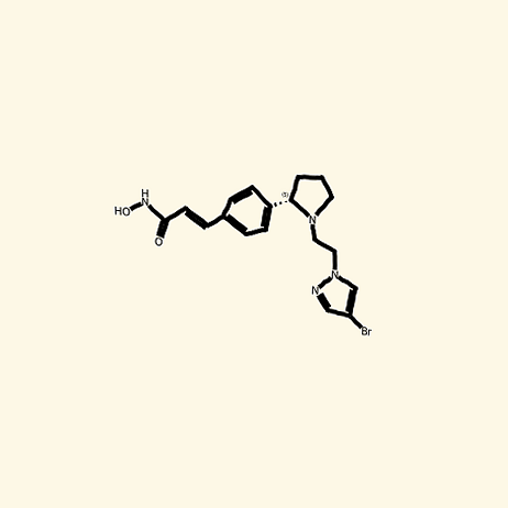 O=C(C=Cc1ccc([C@@H]2CCCN2CCn2cc(Br)cn2)cc1)NO